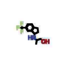 CC(CO)NC1CCc2ccc(C(F)(F)F)cc21